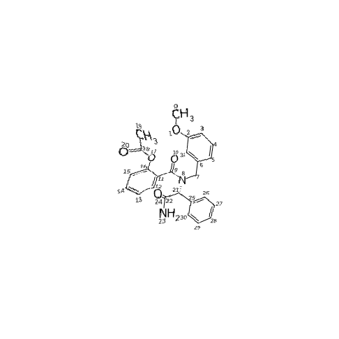 COc1cccc(CN(C(=O)c2ccccc2OC(C)=O)[C@@H](C(N)=O)c2ccccc2)c1